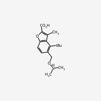 Cc1c(C(=O)O)oc2ccc(CO[SiH](C)C)c(C(C)(C)C)c12